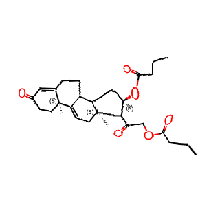 CCCC(=O)OCC(=O)C1[C@H](OC(=O)CCC)CC2C3CCC4=CC(=O)CC[C@]4(C)C3=CC[C@@]21C